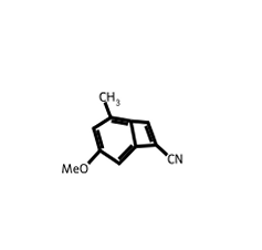 COc1cc(C)c2c(c1)C(C#N)=C2